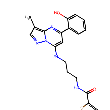 Bc1cnn2c(NCCCNC(=O)c3cccs3)cc(-c3ccccc3O)nc12